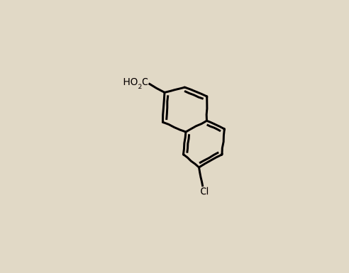 O=C(O)c1ccc2ccc(Cl)cc2c1